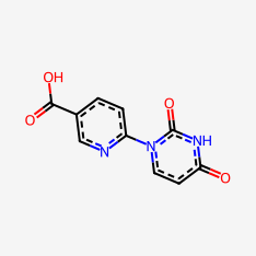 O=C(O)c1ccc(-n2ccc(=O)[nH]c2=O)nc1